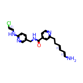 N/C=C/C=C/CCc1cc(C(=O)NCc2ccc(N/C=C/Cl)nc2)ccn1